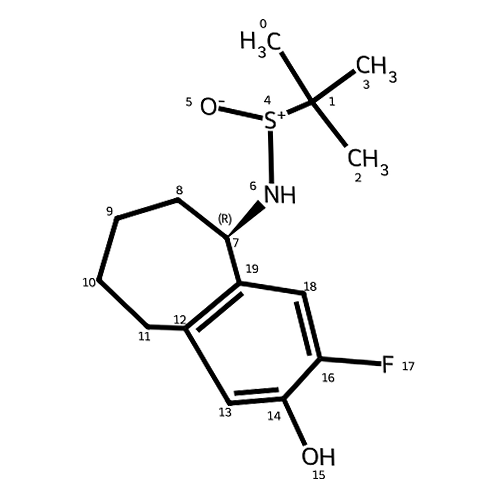 CC(C)(C)[S+]([O-])N[C@@H]1CCCCc2cc(O)c(F)cc21